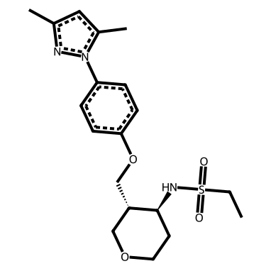 CCS(=O)(=O)N[C@H]1CCOC[C@@H]1COc1ccc(-n2nc(C)cc2C)cc1